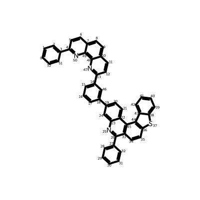 c1ccc(-c2ccc3ccc4ccc(-c5cccc(-c6ccc7c(c6)nc(-c6ccccc6)c6ccc8sc9ccccc9c8c67)c5)nc4c3n2)cc1